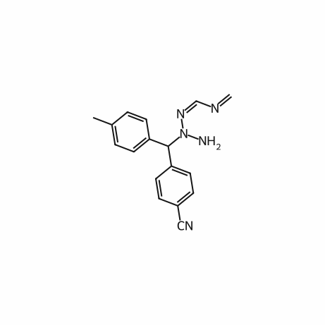 C=N/C=N\N(N)C(c1ccc(C)cc1)c1ccc(C#N)cc1